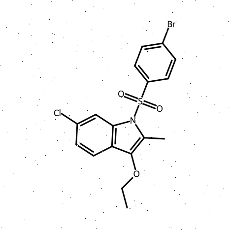 [CH2]COc1c(C)n(S(=O)(=O)c2ccc(Br)cc2)c2cc(Cl)ccc12